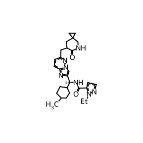 CCn1nccc1C(=O)N[C@H](c1cn2nc(CC3CC4(CC4)CNC3=O)ccc2n1)C1CCC(C)CC1